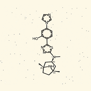 CN(c1nnc(-c2ccc(-n3ccnc3)cc2O)s1)[C@H]1C[C@]2(C)CC[C@](C)(C1)N2